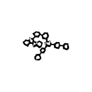 c1ccc(-c2ccc(-c3cc(-c4ccc(-c5ccccc5)cc4)nc(-c4cccc(-c5cccc(-c6nc7ccccc7c7nc8ccccn8c67)c5)c4)n3)cc2)cc1